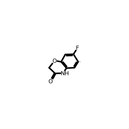 O=C1COc2cc(F)[c]cc2N1